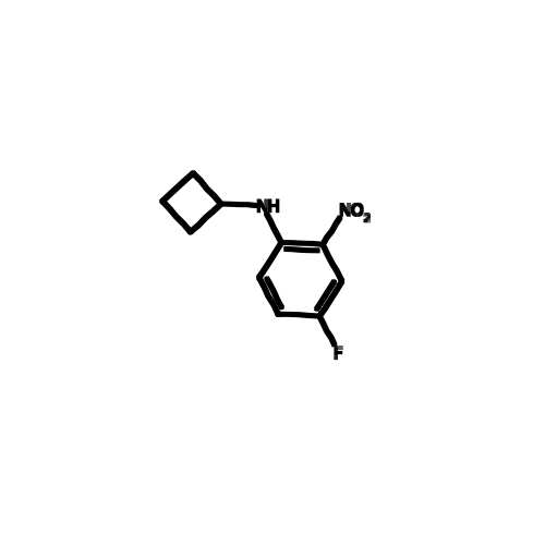 O=[N+]([O-])c1cc(F)ccc1NC1CCC1